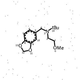 COCCN(Cc1ccc2c(c1)OCO2)C(C)(C)C